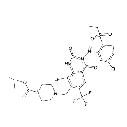 CCS(=O)(=O)c1ccc(Cl)cc1Nn1c(=O)[nH]c2c(Cl)c(CN3CCN(C(=O)OC(C)(C)C)CC3)c(C(F)(F)F)cc2c1=O